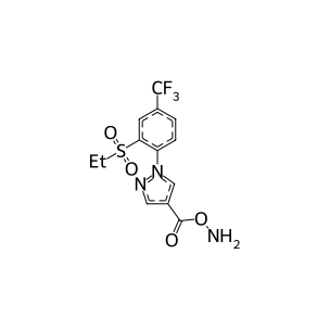 CCS(=O)(=O)c1cc(C(F)(F)F)ccc1-n1cc(C(=O)ON)cn1